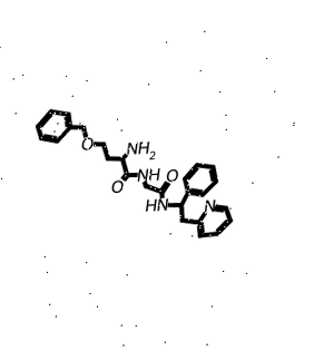 NC(CCOCc1ccccc1)C(=O)NCC(=O)NC(Cc1ccccn1)c1ccccc1